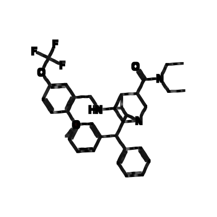 CCN(CC)C(=O)C1CN2CCC1C(NCc1cc(OC(F)(F)F)ccc1OC)C2C(c1ccccc1)c1ccccc1